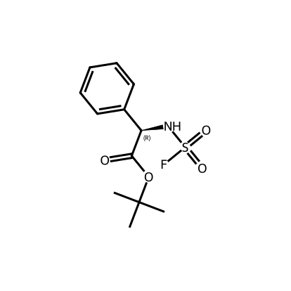 CC(C)(C)OC(=O)[C@H](NS(=O)(=O)F)c1ccccc1